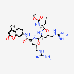 Cc1cc(=O)oc2cc(NC(=O)[C@H](CCCNC(=N)N)NC(=O)[C@H](CCCNC(=N)N)NC(=O)[C@H](CC(C)C)NC(=O)OC(C)(C)C)ccc12